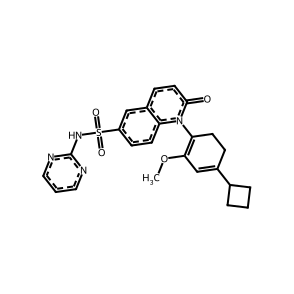 COC1=C(n2c(=O)ccc3cc(S(=O)(=O)Nc4ncccn4)ccc32)CCC(C2CCC2)=C1